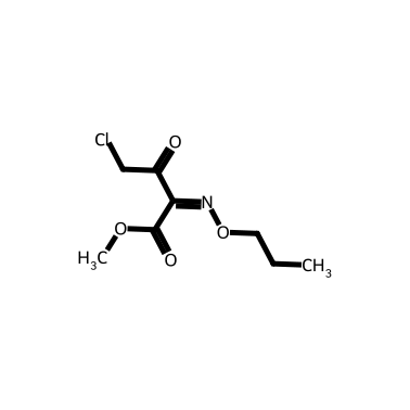 CCCON=C(C(=O)CCl)C(=O)OC